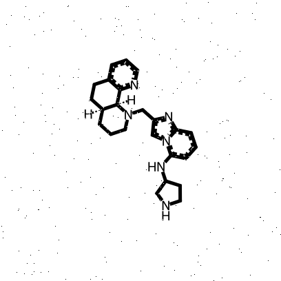 c1cnc2c(c1)CC[C@@H]1CCCN(Cc3cn4c(NC5CCNC5)cccc4n3)[C@H]21